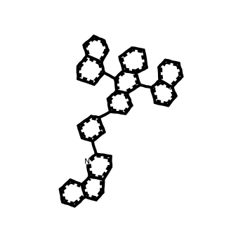 c1cc(-c2ccc3c(-c4cccc5ccccc45)c4ccccc4c(-c4cccc5ccccc45)c3c2)cc(-c2ccc3ccc4ccccc4c3n2)c1